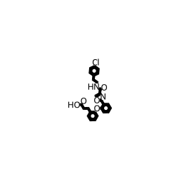 O=C(O)CCc1ccccc1Oc1ccccc1-c1nc(C(=O)NCCc2ccc(Cl)cc2)co1